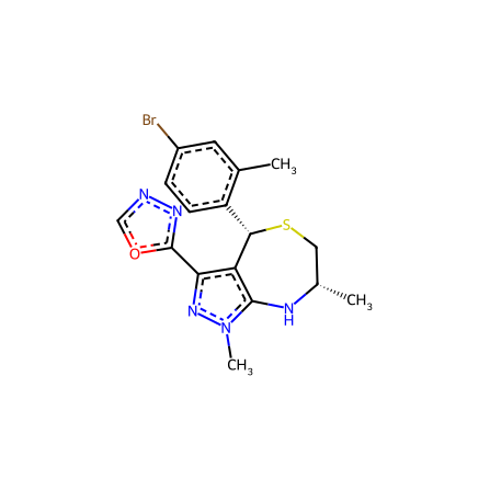 Cc1cc(Br)ccc1[C@@H]1SC[C@H](C)Nc2c1c(-c1nnco1)nn2C